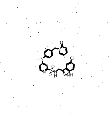 O=c1ccccn1Cc1ccc(Nc2ccnc(S(=O)(=O)NCc3n[nH]c4ccc(Cl)cc34)c2)cc1